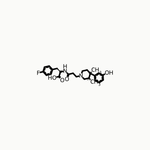 C[C@H]1CN(CCC(=O)N[C@H](Cc2ccc(F)cc2)C(=O)O)CC[C@@]1(C)c1cccc(O)c1